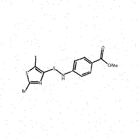 COC(=O)c1ccc(NSc2nc(Br)sc2C)cc1